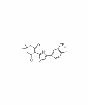 Cc1ccc(-c2csc(C3C(=O)CC(C)(C)CC3=O)n2)cc1C(F)(F)F